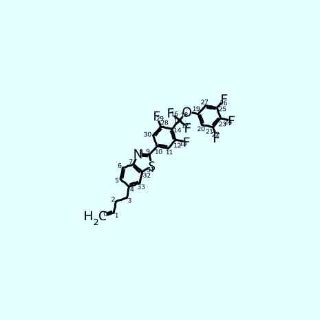 C=CCCc1ccc2nc(-c3cc(F)c(C(F)(F)Oc4cc(F)c(F)c(F)c4)c(F)c3)sc2c1